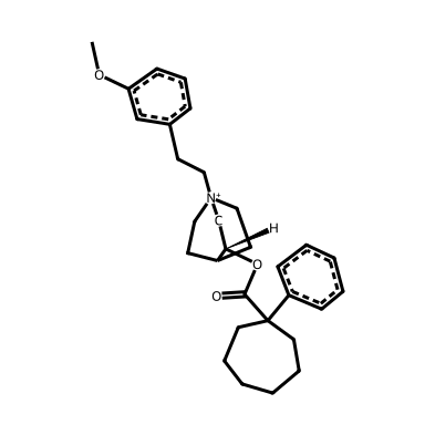 COc1cccc(CC[N+]23CCC(CC2)[C@@H](OC(=O)C2(c4ccccc4)CCCCCC2)C3)c1